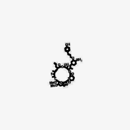 C=CCC1/C=C(\C)C(F)C(C)CC(OC)C2OC(O)(C(=O)C(=O)N3CCCCC3C(=O)OC(C(C)=CC3CCC(N)C(OCC=Cc4ccc(O)cc4)C3)C(C)C(O)CC1=O)C(C)CC2OC